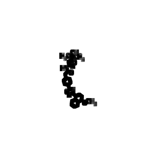 COc1ccc(-c2noc(-c3ccc(CC(=O)Nc4cc(C(C)(C)C)on4)cc3)n2)c2ccccc12